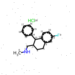 CNCC1CCc2cc(F)ccc2C1c1ccccc1.Cl